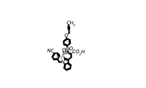 CC#CCOc1ccc(S(=O)(=O)N[C@@H](Cc2c(C)n(Cc3ccc(C#N)cc3)c3ccccc23)C(=O)O)cc1